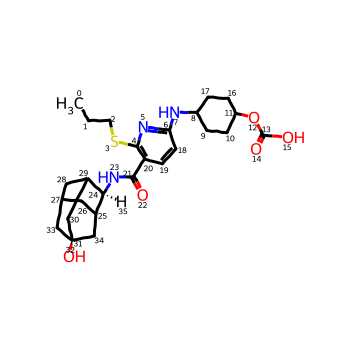 CCCSc1nc(NC2CCC(OC(=O)O)CC2)ccc1C(=O)N[C@H]1C2CC3CC1C[C@@](O)(C3)C2